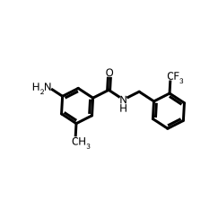 Cc1cc(N)cc(C(=O)NCc2ccccc2C(F)(F)F)c1